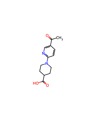 CC(=O)c1ccc(N2CCC(C(=O)O)CC2)nc1